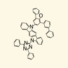 c1ccc(-c2cccc(-c3cc(-n4c5ccccc5c5cc6c(cc54)c4ccccc4n6-c4nc(-c5ccccc5)nc(-c5ccccc5)n4)cc4c3oc3ccccc34)c2)cc1